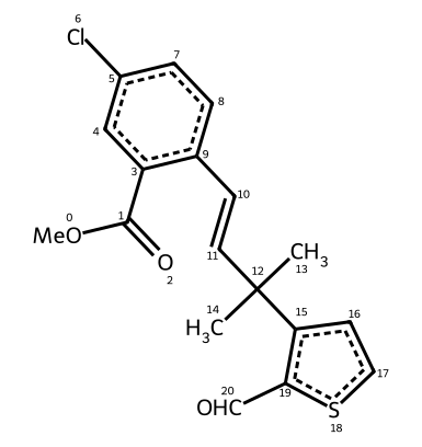 COC(=O)c1cc(Cl)ccc1/C=C/C(C)(C)c1ccsc1C=O